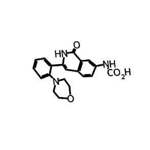 O=C(O)Nc1ccc2cc(-c3ccccc3N3CCOCC3)[nH]c(=O)c2c1